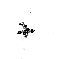 C=C(C)Nc1ccc(Sc2ccc(C)cc2)c2c1C(=O)c1c(Sc3ccc(C)cc3)ccc(NCC(C)(C)COC(=O)/C=C/C)c1C2=O